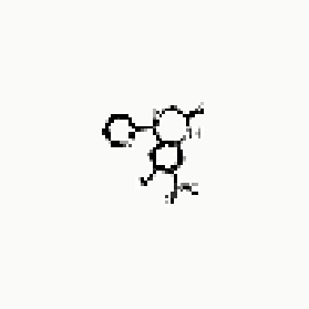 O=[N+]([O-])c1cc2c(cc1Br)C(c1ccccn1)=NCC(=S)N2